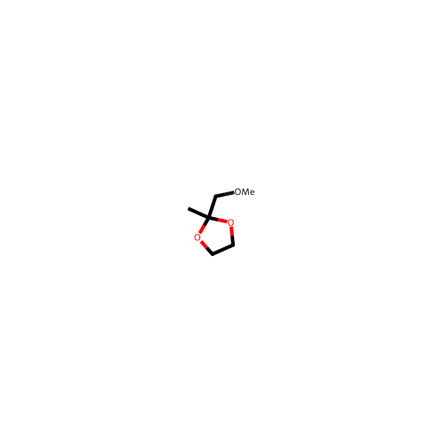 COCC1(C)OCCO1